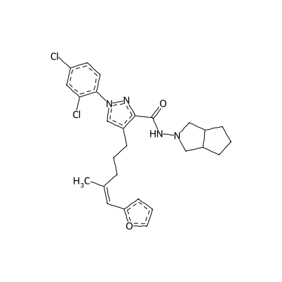 C/C(=C/c1ccco1)CCCc1cn(-c2ccc(Cl)cc2Cl)nc1C(=O)NN1CC2CCCC2C1